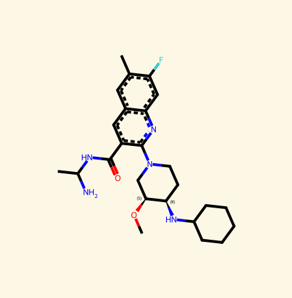 CO[C@H]1CN(c2nc3cc(F)c(C)cc3cc2C(=O)NC(C)N)CC[C@H]1NC1CCCCC1